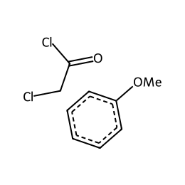 COc1ccccc1.O=C(Cl)CCl